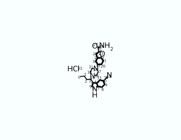 CCCC(c1c[nH]c2ccc(C#N)cc12)N1CCN(c2ccc3oc(C(N)=O)cc3c2)CC1.Cl